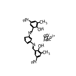 CC(=O)[O-].CC(=O)[O-].CCCc1cc(C)c(O)c(C=Nc2cccc(N=Cc3cc(CCC)cc(C)c3O)c2)c1.[Co+2]